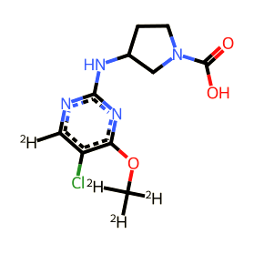 [2H]c1nc(NC2CCN(C(=O)O)C2)nc(OC([2H])([2H])[2H])c1Cl